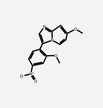 COc1ccn2c(-c3ccc([N+](=O)[O-])cc3OC)cnc2c1